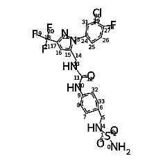 NS(=O)(=O)NCc1ccc(NC(=O)NCc2cc(C(F)(F)F)nn2-c2ccc(F)c(Cl)c2)cc1